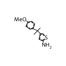 COc1ccc(C(C)(C)c2csc(N)c2)cc1